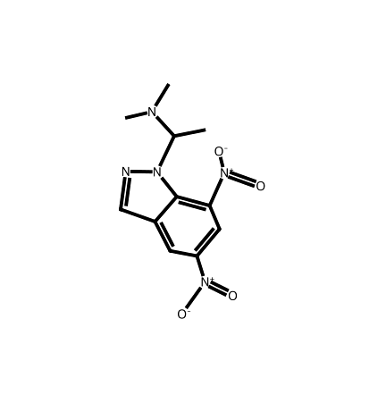 CC(N(C)C)n1ncc2cc([N+](=O)[O-])cc([N+](=O)[O-])c21